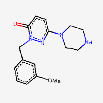 COc1cccc(Cn2nc(N3CCNCC3)ccc2=O)c1